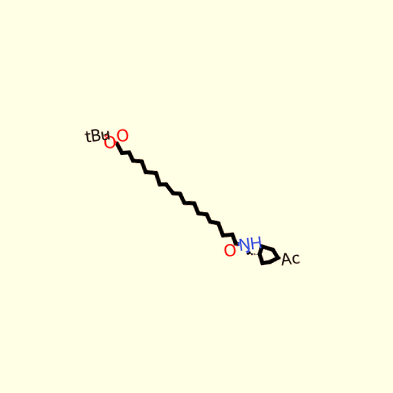 CC(=O)[C@H]1CC[C@H](CNC(=O)CCCCCCCCCCCCCCCCCCC(=O)OC(C)(C)C)CC1